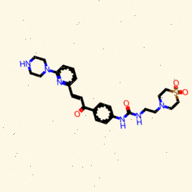 O=C(NCCN1CCS(=O)(=O)CC1)Nc1ccc(C(=O)C=Cc2cccc(N3CCNCC3)n2)cc1